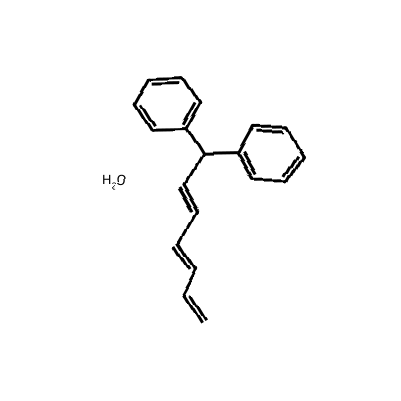 C=CC=CC=CC(c1ccccc1)c1ccccc1.O